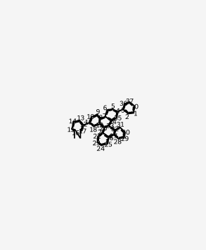 c1ccc(-c2ccc3c4ccc(-c5cccnc5)cc4c4c5ccccc5c5ccccc5c4c3c2)cc1